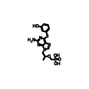 CC(Cn1cnc2c(Sc3cccc(O)c3)nc(N)nc21)OCP(=O)(O)O